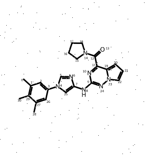 Cc1cc(-n2cnc(Nc3nc(C(=O)N4CCCC4)c4cccn4n3)c2)cc(C)c1C